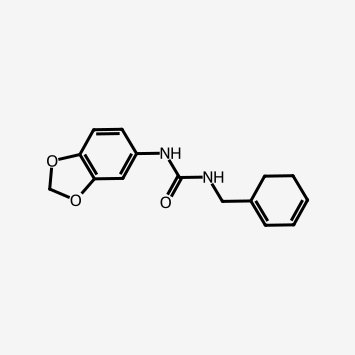 O=C(NCC1=CC=CCC1)Nc1ccc2c(c1)OCO2